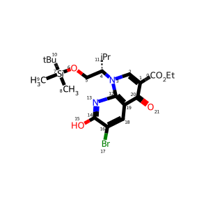 CCOC(=O)c1cn([C@H](CO[Si](C)(C)C(C)(C)C)C(C)C)c2nc(O)c(Br)cc2c1=O